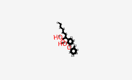 CCCCCCC(C(=O)O)c1cccc(Oc2ccccc2C)c1O